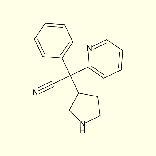 N#CC(c1ccccc1)(c1ccccn1)C1CCNC1